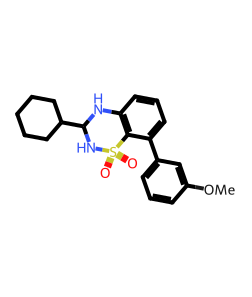 COc1cccc(-c2cccc3c2S(=O)(=O)NC(C2CCCCC2)N3)c1